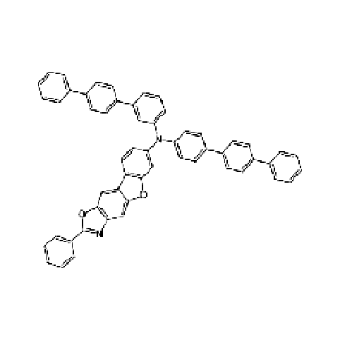 c1ccc(-c2ccc(-c3ccc(N(c4cccc(-c5ccc(-c6ccccc6)cc5)c4)c4ccc5c(c4)oc4cc6nc(-c7ccccc7)oc6cc45)cc3)cc2)cc1